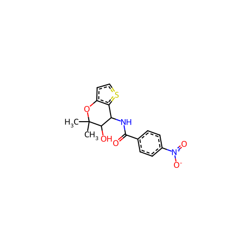 CC1(C)Oc2ccsc2C(NC(=O)c2ccc([N+](=O)[O-])cc2)C1O